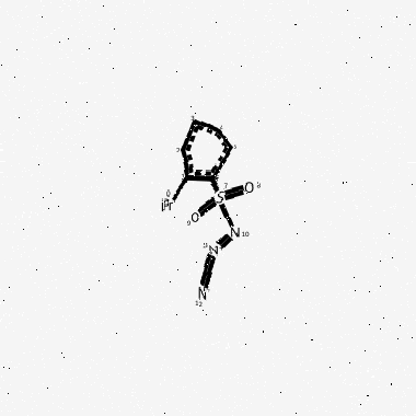 CC(C)c1ccccc1S(=O)(=O)N=[N+]=[N-]